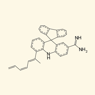 C=C/C=C\C=C(/C)c1cccc2c1Nc1ccc(C(=N)N)cc1C21c2ccccc2-c2ccccc21